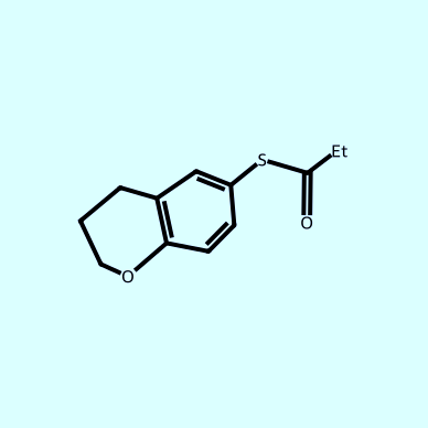 CCC(=O)Sc1ccc2c(c1)CCCO2